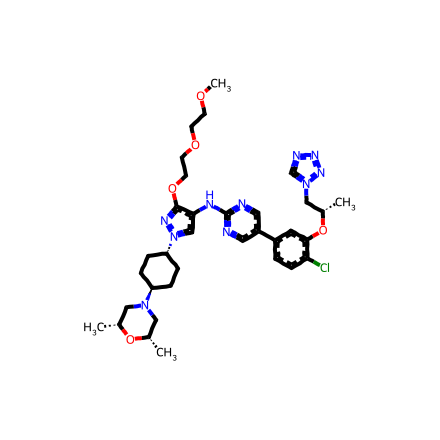 COCCOCCOc1nn([C@H]2CC[C@H](N3C[C@@H](C)O[C@@H](C)C3)CC2)cc1Nc1ncc(-c2ccc(Cl)c(O[C@@H](C)Cn3cnnn3)c2)cn1